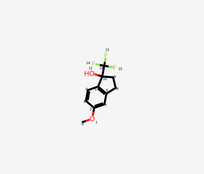 COc1ccc2c(c1)CCC2(O)C(F)(F)F